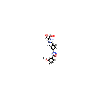 CCOc1cc(-c2nc(-c3ccc4c(c3)CN(CC(N)(CO)CO)C4)no2)ccc1C